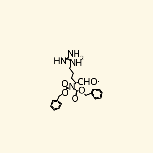 N=C(N)NCCC[C@@H]([C]=O)N(C(=O)OCc1ccccc1)C(=O)OCc1ccccc1